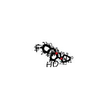 Oc1ccccc1C1CC2CCC(C1)N2CCNCc1ccc(F)cc1